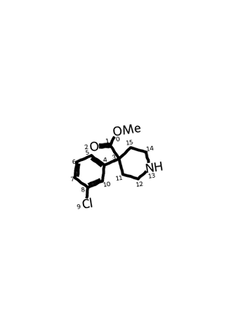 COC(=O)C1(c2cccc(Cl)c2)CCNCC1